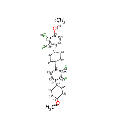 CCOc1ccc(C2CCC(c3ccc(C4CCC(OC)CC4)c(F)c3F)CC2)c(F)c1F